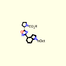 CCCCCCCCn1ccc2c(-c3noc([C@@H]4CCCN4C(=O)O)n3)cccc21